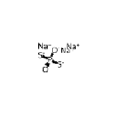 O=P([O-])([S-])[S-].[Na+].[Na+].[Na+]